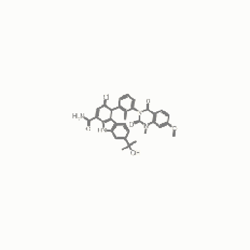 COc1ccc2c(=O)n(-c3cccc(C4c5c([nH]c6cc(C(C)(C)O)ccc56)C(C(N)=O)=CC4Cl)c3C)c(=O)n(C)c2c1